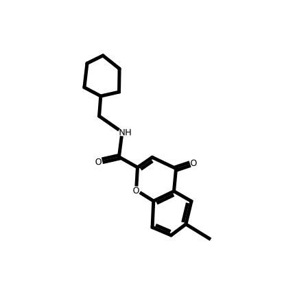 Cc1ccc2oc(C(=O)NCC3CCCCC3)cc(=O)c2c1